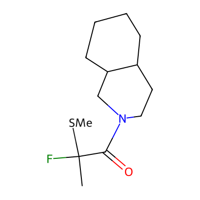 CSC(C)(F)C(=O)N1CCC2CCCCC2C1